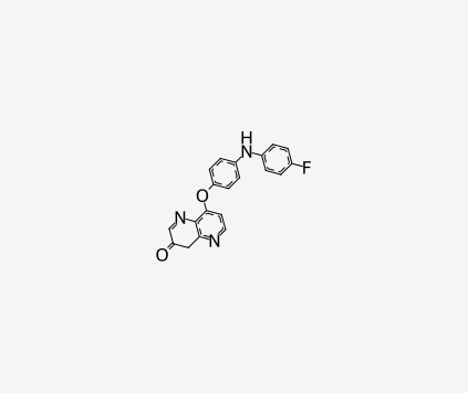 O=C1C=Nc2c(Oc3ccc(Nc4ccc(F)cc4)cc3)ccnc2C1